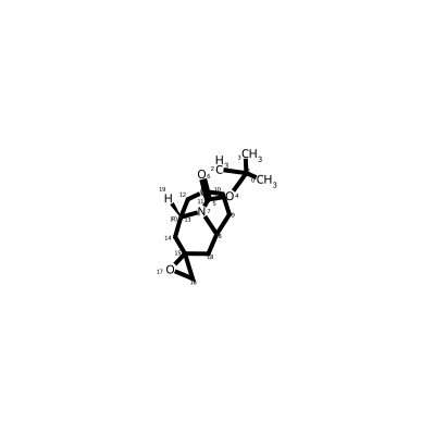 CC(C)(C)OC(=O)N1C2CCOC[C@H]1CC1(CO1)C2